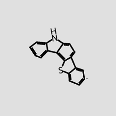 [c]1ccc2sc3c(ccc4[nH]c5ccccc5c43)c2c1